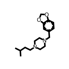 CC(C)CCN1CCN(Cc2ccc3c(c2)OCO3)CC1